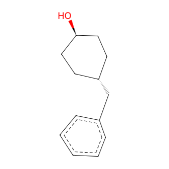 O[C@H]1CC[C@H](Cc2ccccc2)CC1